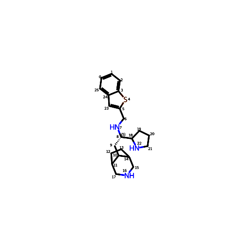 c1ccc2sc(CN[C@@H](CC3C4CCC3CNC4)C3CCCN3)cc2c1